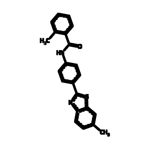 Cc1ccc2nc(-c3ccc(NC(=O)c4ccccc4C)cc3)sc2c1